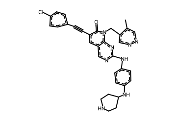 Cc1cnncc1Cn1c(=O)c(C#Cc2ccc(Cl)cc2)cc2cnc(Nc3ccc(NC4CCNCC4)cc3)nc21